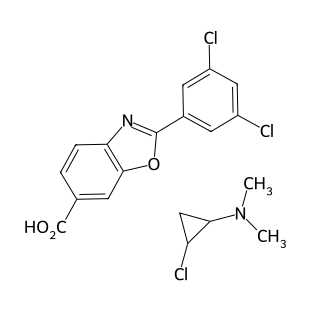 CN(C)C1CC1Cl.O=C(O)c1ccc2nc(-c3cc(Cl)cc(Cl)c3)oc2c1